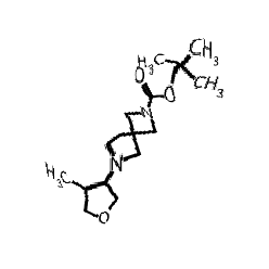 CC1COCC1N1CC2(CN(C(=O)OC(C)(C)C)C2)C1